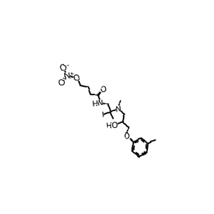 Cc1cccc(OCC(O)CN(C)C(C)(I)CNC(=O)CCCO[N+](=O)[O-])c1